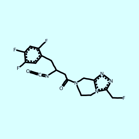 O=C=NC(CC(=O)N1CCn2c(CF)nnc2C1)Cc1cc(F)c(F)cc1F